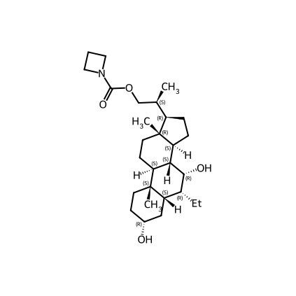 CC[C@H]1[C@@H](O)[C@@H]2[C@H](CC[C@]3(C)[C@@H]([C@H](C)COC(=O)N4CCC4)CC[C@@H]23)[C@@]2(C)CC[C@@H](O)C[C@@H]12